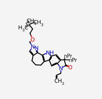 C=CCN1C(=O)C(CCC)(CCC)c2cc3[nH]c4c(c3cc21)CCCc1cn(COCC[Si](C)(C)C)nc1-4